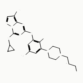 N#Cc1cc(Nc2nc(NC3CC3)n3ncc(C#N)c3n2)c(Cl)c(N2CCN(C[C@@H](O)CF)CC2)c1